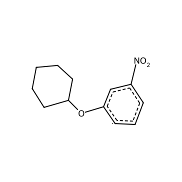 O=[N+]([O-])c1cc[c]c(OC2CCCCC2)c1